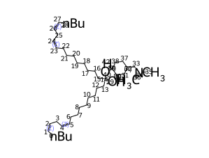 CCCC/C=C\C/C=C\CCCCCCCCC1(CCCCCCCC/C=C\C/C=C\CCCC)O[C@H]2C[C@H](CN(C)C)CC[C@H]2O1